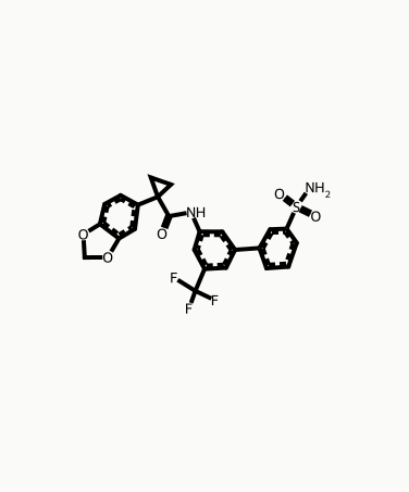 NS(=O)(=O)c1cccc(-c2cc(NC(=O)C3(c4ccc5c(c4)OCO5)CC3)cc(C(F)(F)F)c2)c1